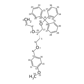 C=CCO[C@@H](CCOCc1ccc(OC)cc1)COC(c1ccccc1)(c1ccccc1)c1ccccc1